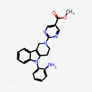 COC(=O)c1cnc(N2CCc3c(c4ccccc4n3-c3ccccc3N)C2)nc1